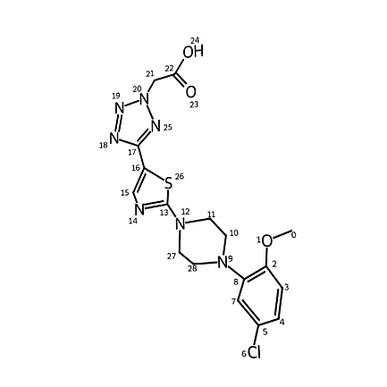 COc1ccc(Cl)cc1N1CCN(c2ncc(-c3nnn(CC(=O)O)n3)s2)CC1